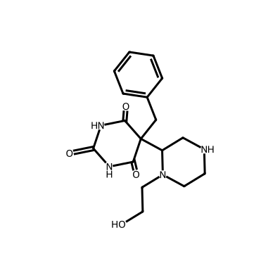 O=C1NC(=O)C(Cc2ccccc2)(C2CNCCN2CCO)C(=O)N1